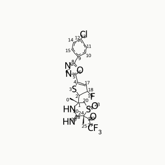 C[C@@]1(C2SC(c3nnc(-c4ccc(Cl)cc4)o3)=CC2F)CS(=O)(=O)[C@](C)(CC(F)(F)F)C(=N)N1